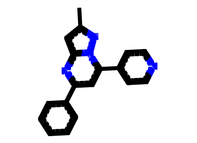 Cc1cc2nc(-c3ccccc3)cc(-c3ccncc3)n2n1